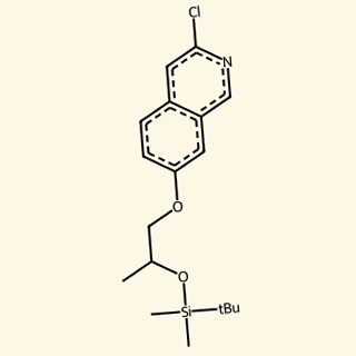 CC(COc1ccc2cc(Cl)ncc2c1)O[Si](C)(C)C(C)(C)C